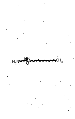 CCCCCCCCCCCCCCCCCCOC(=O)[C@@H](N)CCCCN